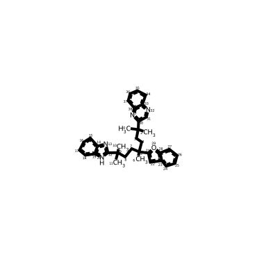 CC(C)(CCC(C)(CCC(C)(C)c1nc2ccccc2[nH]1)c1cc2ccccc2o1)c1cnc2ccccc2n1